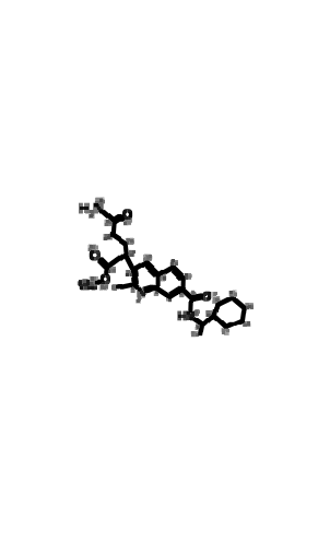 Cc1nc2cc(C(=O)NC(C)C3CCCCC3)ccc2cc1C(CCC(N)=O)C(=O)OC(C)(C)C